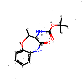 CC1Oc2ccccc2NC(=O)C1NC(=O)OC(C)(C)C